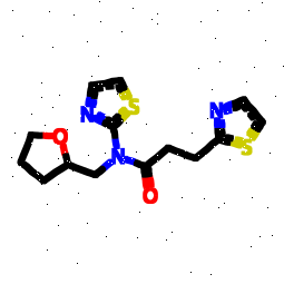 O=C(CCc1nccs1)N(CC1CCCO1)c1nccs1